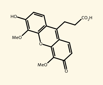 COc1c2oc3c(OC)c(O)ccc3c(CCC(=O)O)c-2ccc1=O